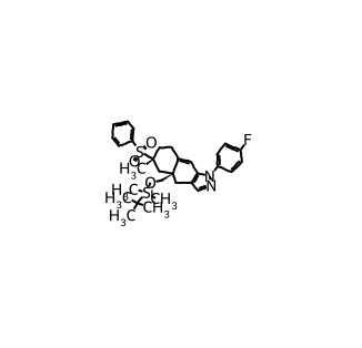 CC(C)(C)[Si](C)(C)OC[C@]12Cc3cnn(-c4ccc(F)cc4)c3C=C1CC[C@@](C)(S(=O)(=O)c1ccccc1)C2